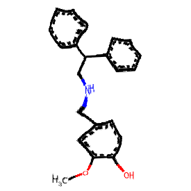 COc1cc(CNCC(c2ccccc2)c2ccccc2)ccc1O